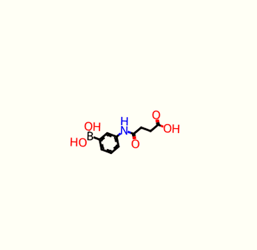 O=C(O)CCC(=O)Nc1cccc(B(O)O)c1